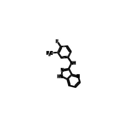 Fc1ccc(Nc2n[nH]c3cccnc23)cc1C(F)(F)F